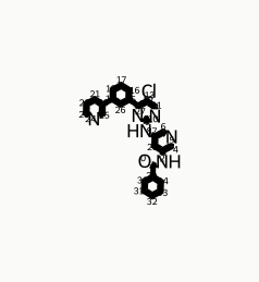 O=C(Nc1cncc(Nc2ncc(Cl)c(-c3cccc(-c4cccnc4)c3)n2)c1)c1ccccc1